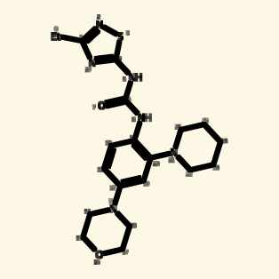 CCc1nsc(NC(=O)Nc2ccc(N3CCOCC3)cc2N2CCCCC2)n1